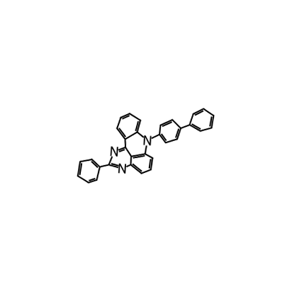 c1ccc(-c2ccc(N3c4ccccc4-c4nc(-c5ccccc5)nc5cccc3c45)cc2)cc1